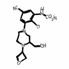 N#Cc1cc(NC(=O)O)c(Cl)c(N2CCN(C3COC3)C(CO)C2)c1